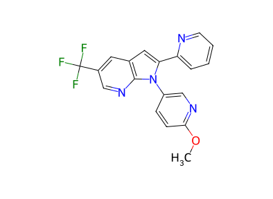 COc1ccc(-n2c(-c3ccccn3)cc3cc(C(F)(F)F)cnc32)cn1